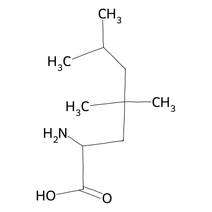 CC(C)CC(C)(C)CC(N)C(=O)O